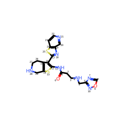 O=C(CCNCc1ncon1)Nc1sc2c(c1-c1nc3cnccc3s1)CCNC2